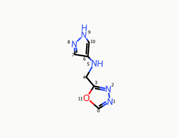 c1nnc(CNc2cn[nH]c2)o1